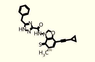 C[C@H]1C=C(C#CC2CC2)C2=C(C1=S)N(NC(=O)c1n[nH]c(Cc3ccccc3)n1)CO2